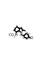 Cc1cc2cccc(C(=O)O)c2n1Cc1ccc(Cl)cc1